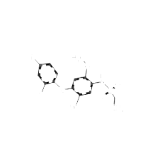 CCS(=O)(=O)Nc1cc(Br)c(Oc2ccc(F)cc2F)cc1OC